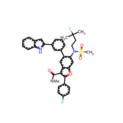 CNC(=O)c1c(-c2ccc(F)cc2)oc2cc(N(CCC(C)(C)F)S(C)(=O)=O)c(-c3cccc(-c4cc5ccccc5[nH]4)c3)cc12